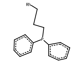 [Rh][CH2]CCP(c1ccccc1)c1ccccc1